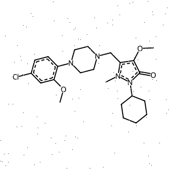 COc1cc(Cl)ccc1N1CCN(Cc2c(OC)c(=O)n(C3CCCCC3)n2C)CC1